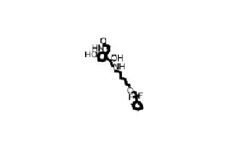 O=c1ccc2c(C(O)CNCCCCCCOCC(F)(F)c3ccccc3)ccc(O)c2[nH]1